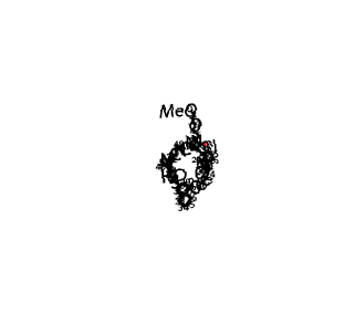 COCCOCCn1nc2c(c1C)-c1c(Cl)ccc3c(c(C(=O)O)n(C)c13)CCCOc1cc(cc3ccccc13)SCc1cc(nn1C)CN(C)C2